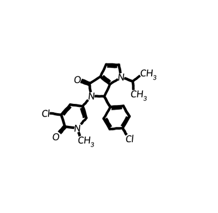 CC(C)n1ccc2c1C(c1ccc(Cl)cc1)N(c1cc(Cl)c(=O)n(C)c1)C2=O